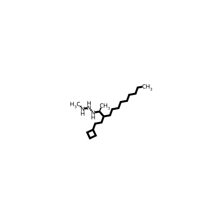 CCCCCCCCCC(CCC1CCC1)[C@H](C)NNNC